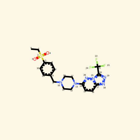 CCS(=O)(=O)c1ccc(CN2CCN(c3ccc4nnc(C(F)(F)F)n4n3)CC2)cc1